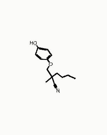 CCCCC(C)(C#N)COc1ccc(O)cc1